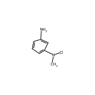 CN(Cl)c1cccc(N)c1